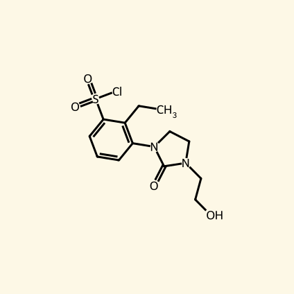 CCc1c(N2CCN(CCO)C2=O)cccc1S(=O)(=O)Cl